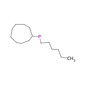 CCCCCC[P]C1CCCCCCCC1